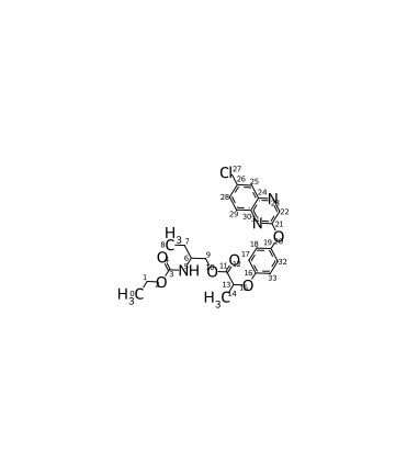 CCOC(=O)NC(CC)COC(=O)C(C)Oc1ccc(Oc2cnc3cc(Cl)ccc3n2)cc1